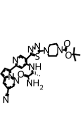 C[C@@H](Nc1cc(-c2ccc3cc(C#N)cnn23)ncc1-c1nnc(N2CCN(C(=O)OC(C)(C)C)CC2)s1)C(N)=O